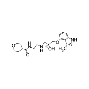 Cc1n[nH]c2cccc(OC[C@@H](O)CNCCNC(=O)C3CCOCC3)c12